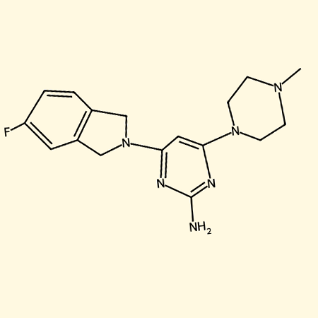 CN1CCN(c2cc(N3Cc4ccc(F)cc4C3)nc(N)n2)CC1